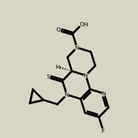 O=C(O)N1CCN2c3ncc(F)cc3N(CC3CC3)C(=S)[C@H]2C1